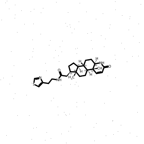 C[C@]12C=CC(=O)N[C@@H]1CC[C@@H]1[C@@H]2CC[C@]2(C)[C@@H](CC(=O)NCCc3cscn3)CC[C@@H]12